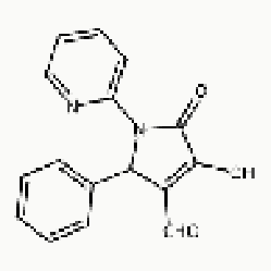 O=CC1=C(O)C(=O)N(c2ccccn2)C1c1ccccc1